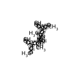 CNc1cc(N(c2ccc(OC)cc2)c2ccc(OC)cc2)ccc1C1=NC2=CC=CC3=NC(c4ccc(N(c5ccc(OC)cc5)c5ccc(OC)cc5)cc4NC)=NC(=N1)N23